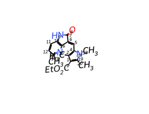 CCOC(=O)c1c(C)c(C=C2C(=O)Nc3ccc(C)nc32)n(C)c1C